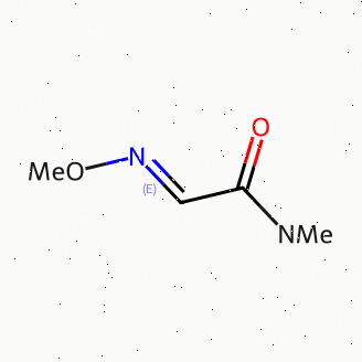 CNC(=O)/C=N/OC